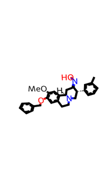 COc1cc2c(cc1OCc1ccccc1)CCN1C[C@@H](c3cccc(C)c3)C(=NO)C[C@H]21